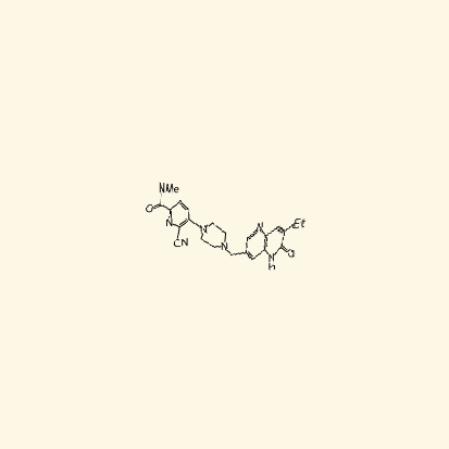 CCc1cc2ncc(CN3CCN(c4ccc(C(=O)NC)nc4C#N)CC3)cc2[nH]c1=O